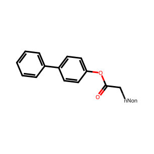 CCCCCCCCCCC(=O)Oc1ccc(-c2ccccc2)cc1